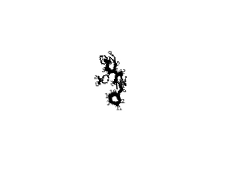 CC(C)Oc1cc(=O)n(C)cc1-c1cnn(Cc2ccccc2)c1